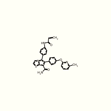 C=CC(=O)Nc1ccc(-c2c(-c3ccc(Oc4cccc(C)n4)cc3)c(C(N)=O)c3sccn23)cc1